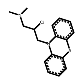 CN(C)CC(Cl)CN1c2ccccc2Sc2ccccc21